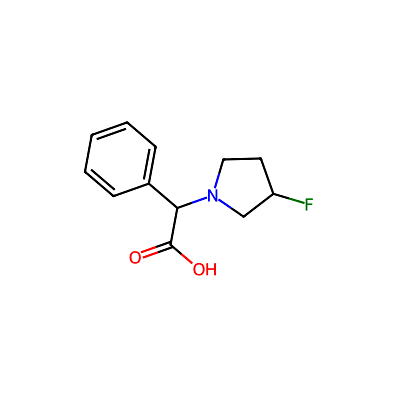 O=C(O)C(c1ccccc1)N1CCC(F)C1